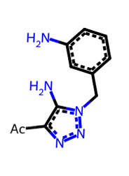 CC(=O)c1nnn(Cc2cccc(N)c2)c1N